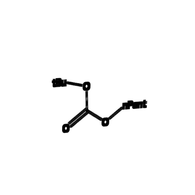 CCCCCOC(=O)OC(C)(C)C